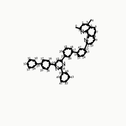 Cc1cc(C)c2ccc3ccc(-c4cccc(-c5cccc(-c6cc(-c7ccc(-c8ccccc8)cc7)nc(-c7ccccc7)n6)c5)c4)nc3c2n1